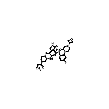 C=CC(=O)N1CCC[C@@H](Nc2nc(Nc3ccc(F)cc3N3CCN(C4COC4)C[C@@H]3C)c3c(c2F)CNC3=O)C1